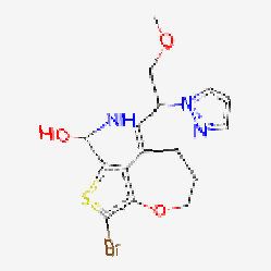 COCC(C1=C2CCCOc3c(Br)sc(c32)C(O)N1)n1cccn1